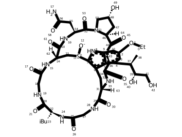 CCOc1ccc2c3c([nH]c2c1)[S+]([O-])C[C@@H]1NC(=O)CNC(=O)[C@H]([C@@H](C)CC)NC(=O)CNC(=O)[C@H](C3)NC(=O)[C@H]([C@@H](C)[C@@H](O)CO)NC(=O)[C@@H]2C[C@@H](O)CN2C(=O)[C@H](CC(N)=O)NC1=O